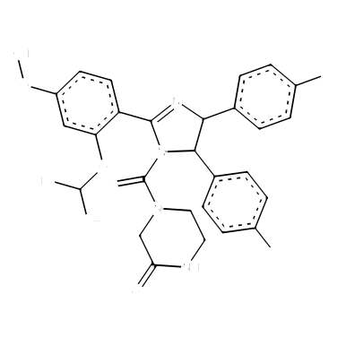 COc1ccc(C2=NC(c3ccc(Cl)cc3)C(c3ccc(Cl)cc3)N2C(=O)N2CCNC(=O)C2)c(OC(C)O)c1